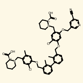 Cc1cc(OCc2cccc(-c3cccc(COc4cc(OCc5cncc(C#N)c5)c(CN5CCCC[C@H]5C(=O)O)cc4Cl)c3C)c2C)c(Cl)cc1CN1CCCC[C@H]1C(=O)O